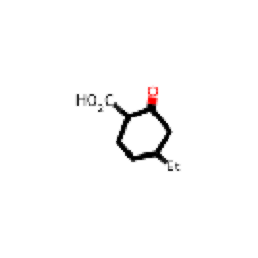 CCC1CCC(C(=O)O)C(=O)C1